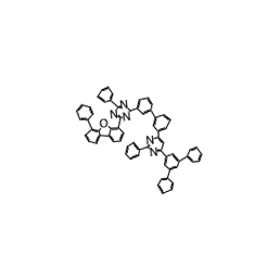 c1ccc(-c2cc(-c3ccccc3)cc(-c3cc(-c4cccc(-c5cccc(-c6nc(-c7ccccc7)nc(-c7cccc8c7oc7c(-c9ccccc9)cccc78)n6)c5)c4)nc(-c4ccccc4)n3)c2)cc1